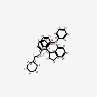 Cc1cccc(NCC2SCCCS2)c1C1CCc2cccc(P(c3ccccc3)c3ccccc3)c21